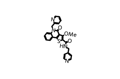 COc1c(C(=O)NCc2ccncc2)sc2c1c(=O)n(Cc1ccccn1)c1ccccc21